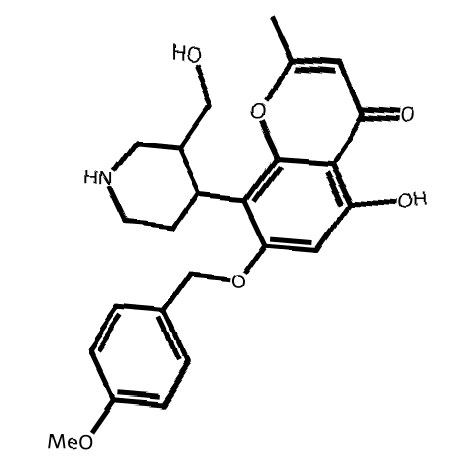 COc1ccc(COc2cc(O)c3c(=O)cc(C)oc3c2C2CCNCC2CO)cc1